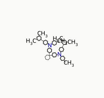 Cc1ccc(N(c2ccc(-c3cc(C)cc(C)c3)cc2)c2ccc(C3(c4ccc(N(c5ccc(C)cc5)c5ccc(-c6cc(C)cc(C)c6)cc5)cc4)CCCCC3)cc2)cc1